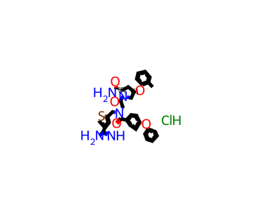 Cc1ccccc1O[C@H]1C[C@@H](C(N)=O)N(C(=O)CN(Cc2cc(C(=N)N)cs2)C(=O)c2ccc(Oc3ccccc3)cc2)C1.Cl